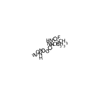 CC(C)c1cc(Nc2nc3cc(Oc4ccnc(NC(=O)CN5CCC5)c4)ccc3n2C)ccc1F